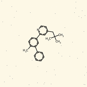 Cc1ccc(-c2cc(CC(C)(C)C)ccn2)cc1-c1ccccc1